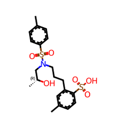 Cc1ccc(S(=O)(=O)N(CCCc2cc(C)ccc2S(=O)(=O)O)C[C@@H](C)O)cc1